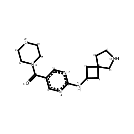 O=C(c1cnc(NC2CC3(CCNC3)C2)nc1)N1CCOCC1